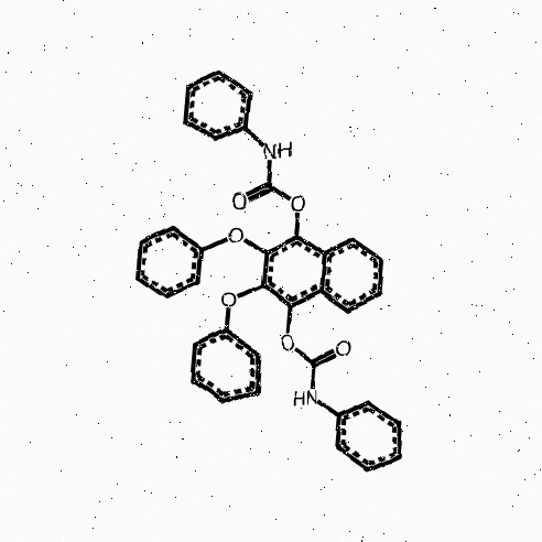 O=C(Nc1ccccc1)Oc1c(Oc2ccccc2)c(Oc2ccccc2)c(OC(=O)Nc2ccccc2)c2ccccc12